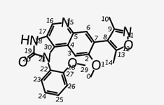 COc1cc2c(cc1-c1c(C)noc1C)ncc1[nH]c(=O)n(-c3ccccc3OC)c12